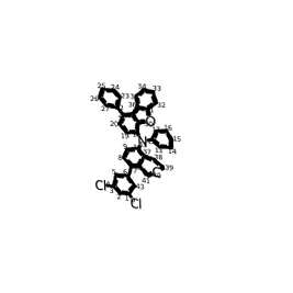 Clc1cc(Cl)cc(-c2ccc(N(c3ccccc3)c3ccc(-c4ccccc4)c4c3oc3ccccc34)c3ccccc23)c1